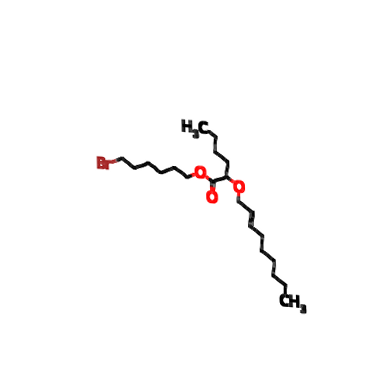 CCCCCC/C=C/COC(CCCC)C(=O)OCCCCCCBr